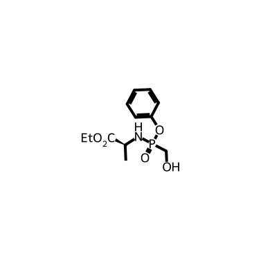 CCOC(=O)[C@H](C)NP(=O)(CO)Oc1ccccc1